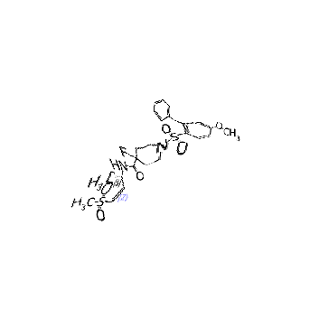 COc1ccc(S(=O)(=O)N2CCC(F)(C(=O)N[C@@H](C)/C=C\S(C)(=O)=O)CC2)c(-c2ccccc2)c1